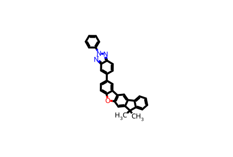 CC1(C)c2ccccc2-c2cc3c(cc21)oc1ccc(-c2ccc4nn(-c5ccccc5)nc4c2)cc13